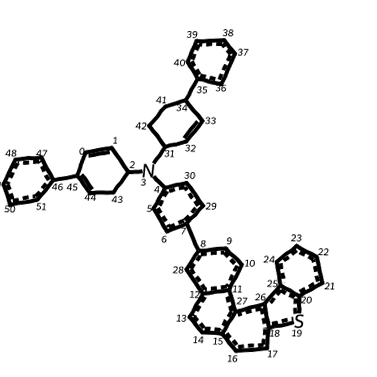 C1=CC(N(c2ccc(-c3ccc4c(ccc5ccc6sc7ccccc7c6c54)c3)cc2)C2C=CC(c3ccccc3)CC2)CC=C1c1ccccc1